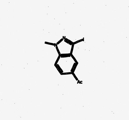 CC(=O)c1ccc2c(c1)c(I)nn2C